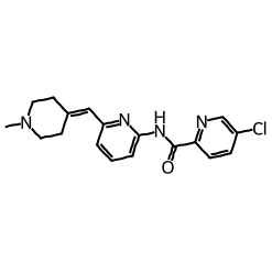 CN1CCC(=Cc2cccc(NC(=O)c3ccc(Cl)cn3)n2)CC1